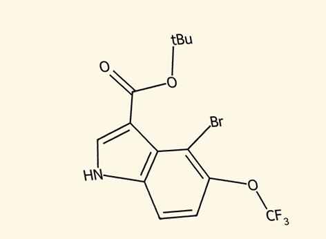 CC(C)(C)OC(=O)c1c[nH]c2ccc(OC(F)(F)F)c(Br)c12